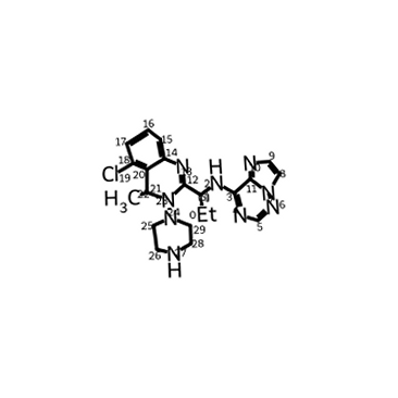 CC[C@H](Nc1ncnn2ccnc12)C1=Nc2cccc(Cl)c2C(C)N1N1CCNCC1